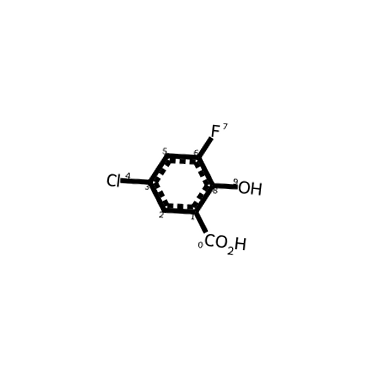 O=C(O)c1cc(Cl)cc(F)c1O